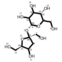 OCC1O[C@H](O[C@@]2(CO)CC(O)[C@@H](CO)O2)C(O)C(O)[C@@H]1O